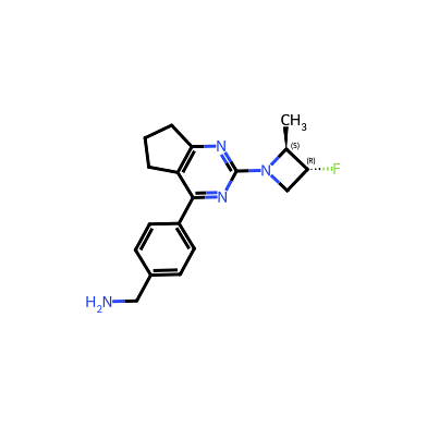 C[C@H]1[C@H](F)CN1c1nc2c(c(-c3ccc(CN)cc3)n1)CCC2